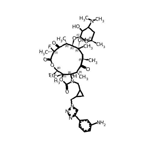 CC[C@H]1OC(=O)[C@@](C)(F)C(=O)[C@H](C)[C@@H](O[C@@H]2O[C@H](C)CC(N(C)C)C2O)[C@](C)(OC)C[C@@H](C)C(=O)[C@H](C)[C@H]2N(CC3CC3Cn3cc(-c4cccc(N)c4)nn3)C(=O)O[C@]12C